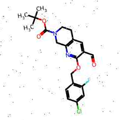 CC(C)(C)OC(=O)N1CCc2cc(C=O)c(OCc3ccc(Cl)cc3F)nc2C1